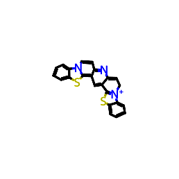 C1=CN2C(=c3cc4c(nc31)=CC[n+]1c-4sc3ccccc31)Sc1ccccc12